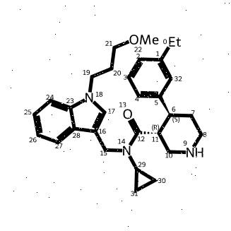 CCc1cccc([C@H]2CCNC[C@@H]2C(=O)N(Cc2cn(CCCOC)c3ccccc23)C2CC2)c1